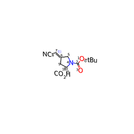 CC(C)(C)OC(=O)N1C/C(=C/C#N)C[C@H]1C(=O)O